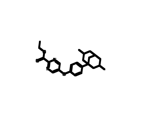 CCOC(=O)c1ncc(Oc2ccc(C34CC(C)CC(CC(C)C3)C4)cc2)cn1